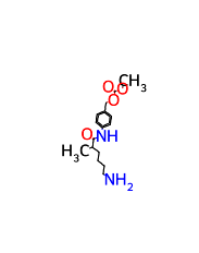 COC(=O)OCc1ccc(NC(=O)C(C)CCCCN)cc1